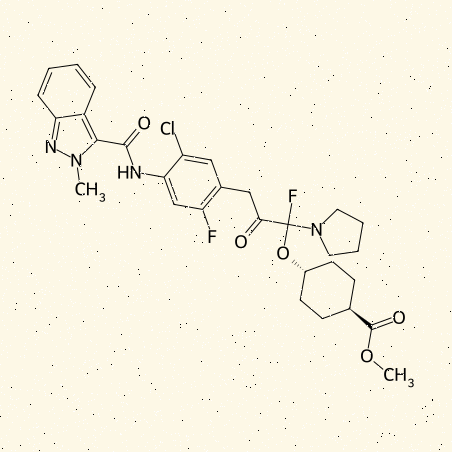 COC(=O)[C@H]1CC[C@H](OC(F)(C(=O)Cc2cc(Cl)c(NC(=O)c3c4ccccc4nn3C)cc2F)N2CCCC2)CC1